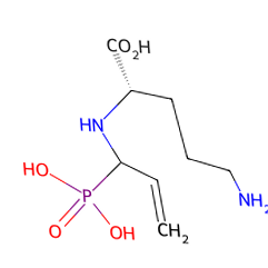 C=CC(N[C@@H](CCCN)C(=O)O)P(=O)(O)O